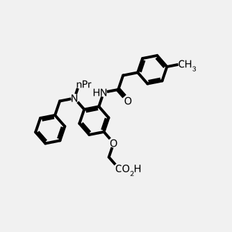 CCCN(Cc1ccccc1)c1ccc(OCC(=O)O)cc1NC(=O)Cc1ccc(C)cc1